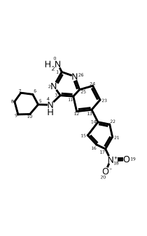 Nc1nc(NC2CCCCC2)c2cc(-c3ccc([N+](=O)[O-])cc3)ccc2n1